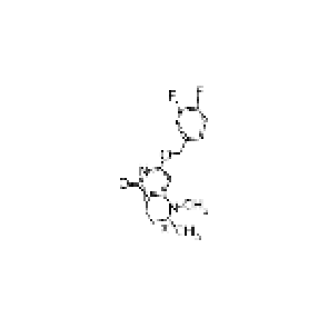 C[C@H]1CCn2c(cc(OCc3ccc(F)c(F)c3)nc2=O)N1C